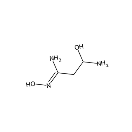 N/C(CC(N)O)=N\O